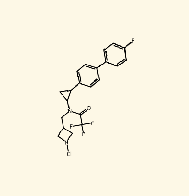 O=C(N(CC1CN(Cl)C1)C1CC1c1ccc(-c2ccc(F)cc2)cc1)C(F)(F)F